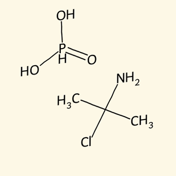 CC(C)(N)Cl.O=[PH](O)O